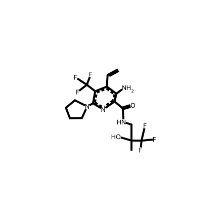 C=Cc1c(N)c(C(=O)NCC(C)(O)C(F)(F)F)nc(N2CCCC2)c1C(F)(F)F